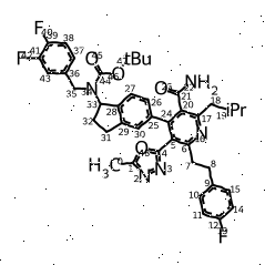 Cc1nnc(-c2c(CCc3ccc(F)cc3)nc(CC(C)C)c(C(N)=O)c2-c2ccc3c(c2)CCC3N(Cc2ccc(F)c(F)c2)C(=O)OC(C)(C)C)o1